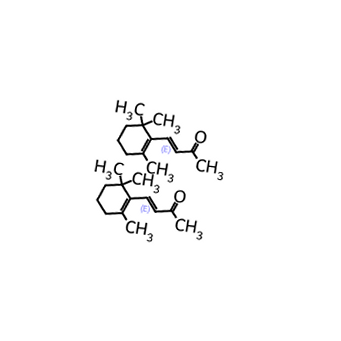 CC(=O)/C=C/C1=C(C)CCCC1(C)C.CC(=O)/C=C/C1=C(C)CCCC1(C)C